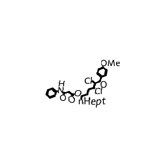 CCCCCCCC(CCC(Cl)C(Cl)C(=O)c1ccc(OC)cc1)OC(=O)CC(=O)Nc1ccccc1